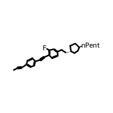 CC#Cc1ccc(C#Cc2ccc(CC[C@H]3CC[C@H](CCCCC)CC3)cc2F)cc1